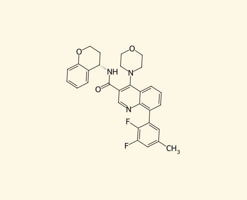 Cc1cc(F)c(F)c(-c2cccc3c(N4CCOCC4)c(C(=O)N[C@H]4CCOc5ccccc54)cnc23)c1